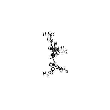 COc1ccc(C(OCCCCC(=O)NCC(CNC(=O)CCCCOC(=O)CCC(C)=O)OP(OCCC#N)N(C(C)C)C(C)C)(c2ccccc2)c2ccc(OC)cc2)cc1